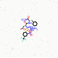 CCC[C@@H](C(=O)N[C@@H](Cc1ccccc1)C(N)=O)N(NC(=N)N)S(=O)(=O)c1ccc(C(F)(F)F)cc1[N+](=O)[O-]